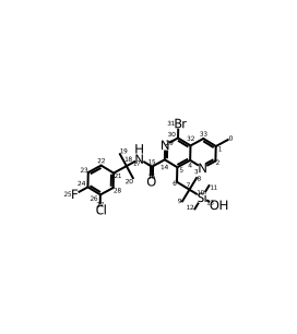 Cc1cnc2c(CC(C)(C)[Si](C)(C)O)c(C(=O)NC(C)(C)c3ccc(F)c(Cl)c3)nc(Br)c2c1